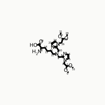 COC(Cn1ccnc1CN(CCCCC(N)C(=O)O)Cc1nccn1CC(OC)OC)OC